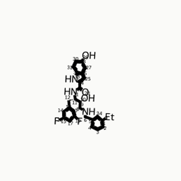 CCc1cccc(CNC[C@H](O)[C@H](Cc2cc(F)cc(F)c2)NC(=O)c2cc3cc(O)ccc3[nH]2)c1